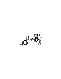 CCC[C@@H]1NC(CCNC2CCNCC2)=C(C=O)C[C@@H]1C(=O)CC